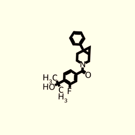 CC(C)(O)c1ccc(C(=O)N2CCC3(c4ccccc4)CC3C2)cc1F